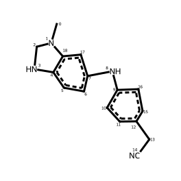 CN1CNc2ccc(Nc3ccc(CC#N)cc3)cc21